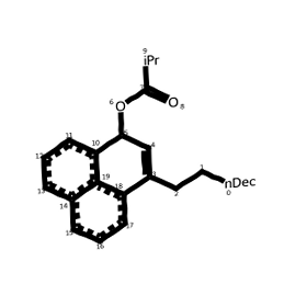 CCCCCCCCCCCCC1=CC(OC(=O)C(C)C)c2cccc3cccc1c23